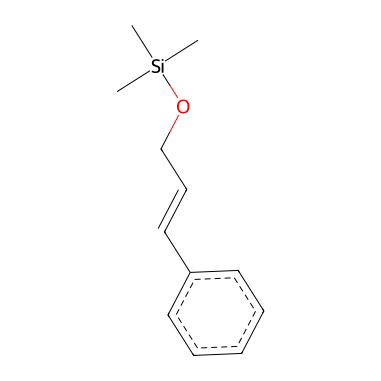 C[Si](C)(C)OCC=Cc1ccccc1